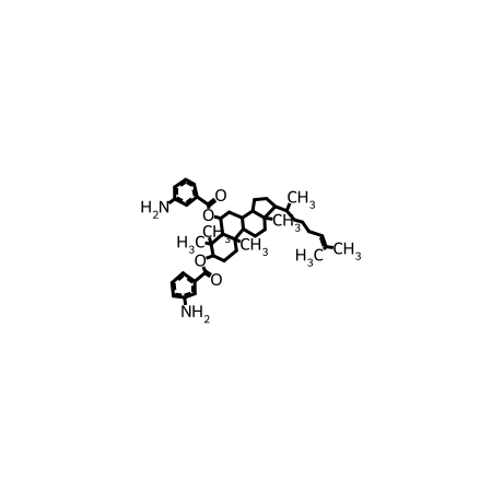 CC(C)=CCCCC(C)C1CCC2C3CC(OC(=O)c4cccc(N)c4)C4C(C)(C)C(OC(=O)c5cccc(N)c5)CCC4(C)C3CCC12C